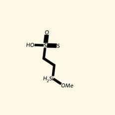 CO[SiH2]CCS(=O)(O)=S